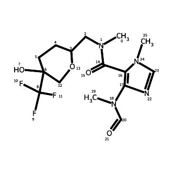 CN(CC1CCC(O)(C(F)(F)F)CO1)C(=O)c1c(N(C)C=O)ncn1C